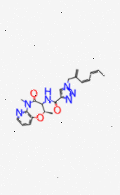 C=C(/C=C\C=C/C)Cn1cc(C(=O)N[C@@H]2C(=O)N(C)c3ncccc3O[C@@H]2C)nn1